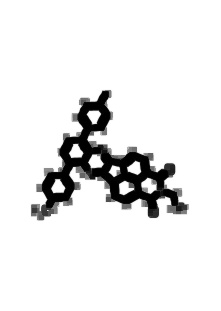 Cc1ccc(-c2ccc(-c3ccc(C(F)(F)F)cc3)c3nc4c(nc23)-c2ccc3c5c(ccc-4c25)C(=O)N(CC(C)C)C3=O)cc1